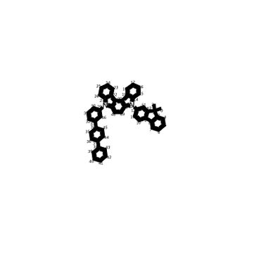 CC1(C)c2ccccc2-c2ccc(-n3c4ccccc4c4c5c6ccccc6n(-c6cccc(-c7ccc(-c8ccccc8)cc7)c6)c5ccc43)cc21